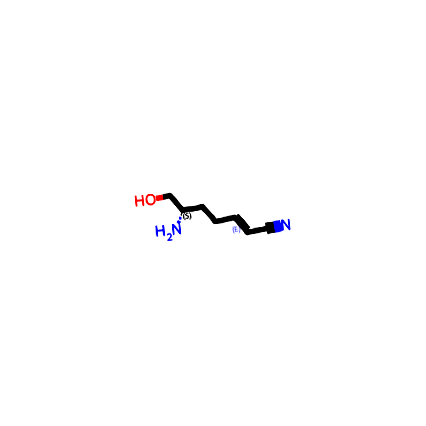 N#C/C=C/CC[C@H](N)CO